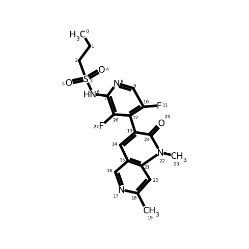 CCCS(=O)(=O)Nc1ncc(F)c(-c2cc3cnc(C)cc3n(C)c2=O)c1F